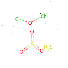 ClOCl.O=S(=O)=O.S